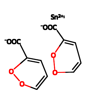 O=C([O-])C1=CC=COO1.O=C([O-])C1=CC=COO1.[Sn+2]